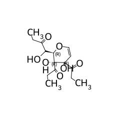 CCC(=O)C(O)[C@H]1OC=C[C@](O)(C(=O)CC)[C@@]1(O)C(=O)CC